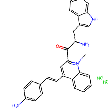 C[n+]1c(C(=O)C(N)Cc2c[nH]c3ccccc23)cc(C=Cc2ccc(N)cc2)c2ccccc21.Cl.Cl